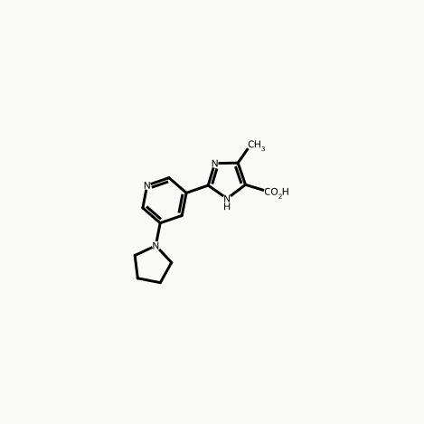 Cc1nc(-c2cncc(N3CCCC3)c2)[nH]c1C(=O)O